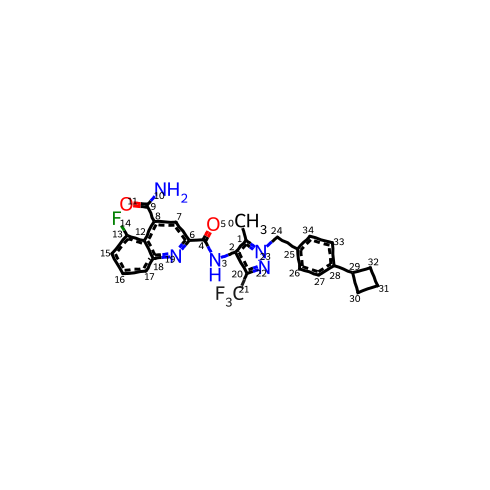 Cc1c(NC(=O)c2cc(C(N)=O)c3c(F)cccc3n2)c(C(F)(F)F)nn1Cc1ccc(C2CCC2)cc1